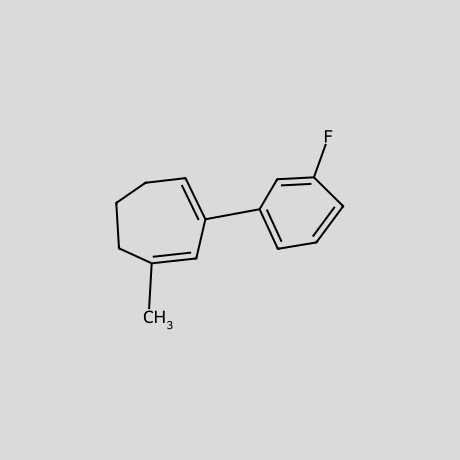 CC1=CC(c2cccc(F)c2)=CCCC1